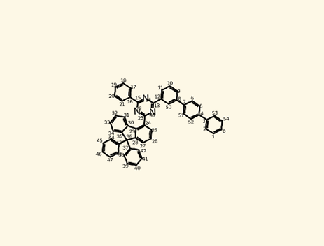 c1ccc(-c2ccc(-c3cccc(-c4nc(-c5ccccc5)nc(-c5cccc6c5-c5ccccc5C6(c5ccccc5)c5ccccc5)n4)c3)cc2)cc1